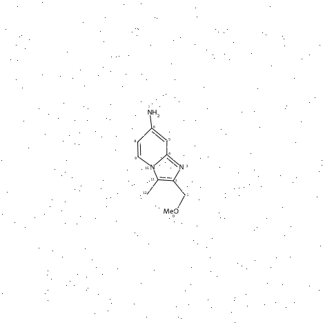 COCc1nc2cc(N)ccn2c1C